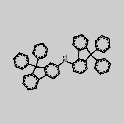 c1ccc(C2(c3ccccc3)c3ccccc3-c3ccc(Nc4cccc5c4-c4ccccc4C5(c4ccccc4)c4ccccc4)cc32)cc1